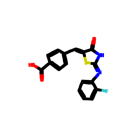 O=C1N/C(=N/c2ccccc2F)S/C1=C\c1ccc(C(=O)O)cc1